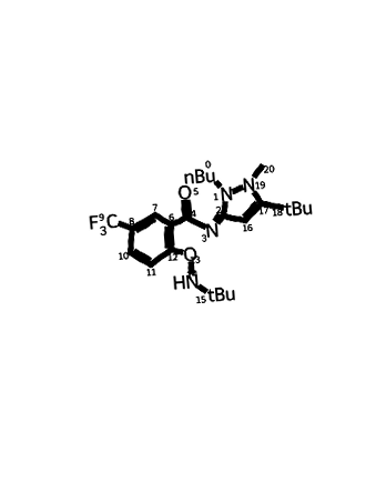 CCCCn1c(=NC(=O)c2cc(C(F)(F)F)ccc2ONC(C)(C)C)cc(C(C)(C)C)n1C